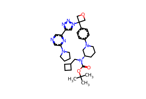 CC(C)(C)OC(=O)N(CC1CCC1)[C@@H]1CCCN(c2ccc(C3(n4cc(-c5cncc(N6CCCC6)n5)nn4)COC3)cc2)C1